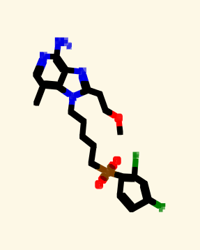 COCCc1nc2c(N)ncc(C)c2n1CCCCCS(=O)(=O)c1ccc(F)cc1F